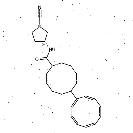 N#CN1CC[C@@H](NC(=O)C2CCCCC(c3ccccccccc3)CCCC2)C1